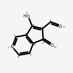 O=CC1=C(O)c2cnccc2C1=O